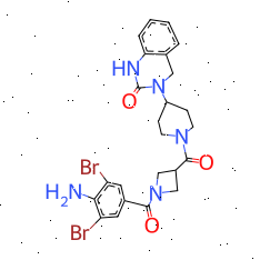 Nc1c(Br)cc(C(=O)N2CC(C(=O)N3CCC(N4Cc5ccccc5NC4=O)CC3)C2)cc1Br